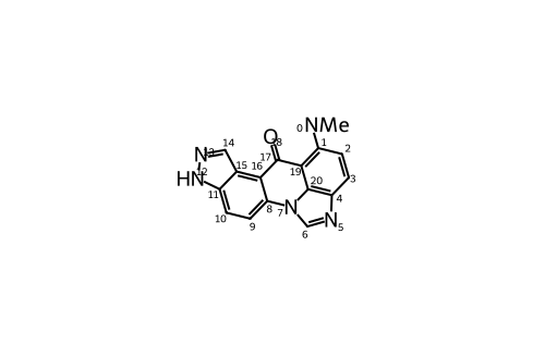 CNc1ccc2ncn3c4ccc5[nH]ncc5c4c(=O)c1c23